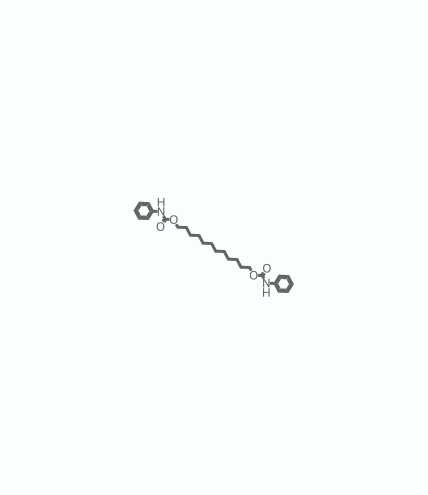 O=C(Nc1ccccc1)OCCCCCCCCCCCCOC(=O)Nc1ccccc1